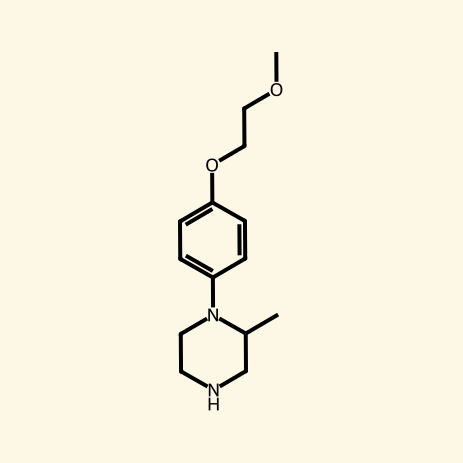 COCCOc1ccc(N2CCNCC2C)cc1